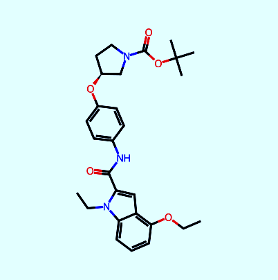 CCOc1cccc2c1cc(C(=O)Nc1ccc(O[C@H]3CCN(C(=O)OC(C)(C)C)C3)cc1)n2CC